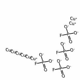 O=P([O-])([O-])F.O=P([O-])([O-])F.O=P([O-])([O-])F.O=P([O-])([O-])F.[Cu+].[Cu+].[Cu+].[Cu+].[Cu+].[Cu+].[Cu+].[Cu+]